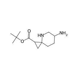 CC(C)(C)OC(=O)C1CC12CCC(N)CN2